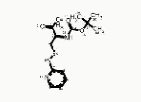 CC(=O)C(CSSc1ccccn1)NC(=O)OC(C)(C)C